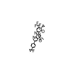 CCS(=O)(=O)c1cc(-c2ccc(C3(F)CC3)cc2)cnc1-c1nc2cc(C(F)(F)F)n(C3CC3)c(=O)c2n1C